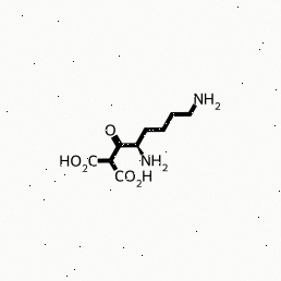 NCCCC[C@@H](N)C(=O)[C](C(=O)O)C(=O)O